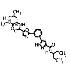 CCC(CC)NC(=O)c1cc(-c2cccc(-c3ncc(C(=O)N[C@@H](CC(C)C)C(=O)OC)o3)c2)[nH]n1